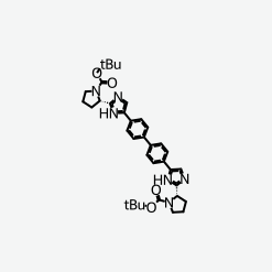 CC(C)(C)OC(=O)N1CCC[C@H]1c1ncc(-c2ccc(-c3ccc(-c4cnc([C@@H]5CCCN5C(=O)OC(C)(C)C)[nH]4)cc3)cc2)[nH]1